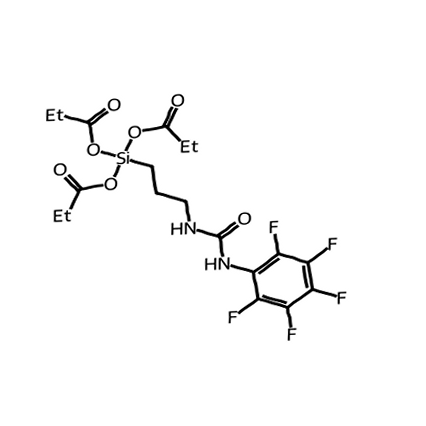 CCC(=O)O[Si](CCCNC(=O)Nc1c(F)c(F)c(F)c(F)c1F)(OC(=O)CC)OC(=O)CC